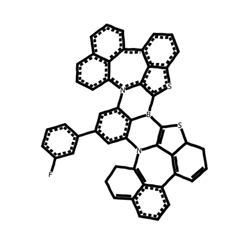 Fc1cccc(-c2cc3c4c(c2)-n2c5cccc6cccc(c7cccc8sc(c2c87)B4C2=C4C7=C(C=CCC7S2)c2cccc7c2=C(CCC=7)N43)c65)c1